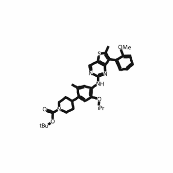 COc1ccccc1-c1c(C)sc2cnc(Nc3cc(C)c(C4CCN(C(=O)OC(C)(C)C)CC4)cc3OC(C)C)nc12